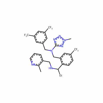 CCC(NCc1cccnc1C)c1ccc(C(F)(F)F)cc1CN(Cc1cc(C(F)(F)F)cc(C(F)(F)F)c1)c1nnn(C)n1